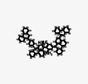 Cc1cc(N(c2ccc(-c3cc4ccccc4c4ccccc34)cc2)c2ccccc2-c2ccccc2)cc(C)c1-c1c(C)cc(N(c2ccc(-c3cc4ccccc4c4ccccc34)cc2)c2ccccc2-c2ccccc2)cc1C